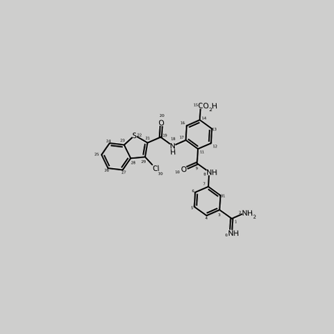 N=C(N)c1cccc(NC(=O)c2ccc(C(=O)O)cc2NC(=O)c2sc3ccccc3c2Cl)c1